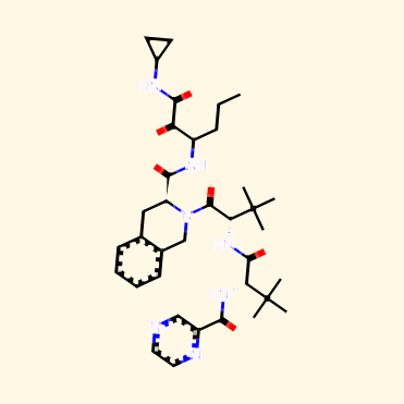 CCCC(NC(=O)[C@@H]1Cc2ccccc2CN1C(=O)[C@@H](NC(=O)[C@@H](NC(=O)c1cnccn1)C(C)(C)C)C(C)(C)C)C(=O)C(=O)NC1CC1